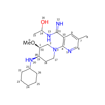 CO[C@H]1CN(c2ncc(C)cc2C(=N)NC(C)O)CC[C@H]1NC1CCCCC1